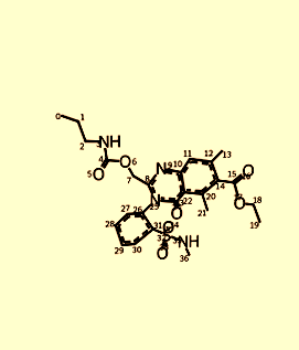 CCCNC(=O)OCc1nc2cc(C)c(C(=O)OCC)c(C)c2c(=O)n1-c1ccccc1S(=O)(=O)NC